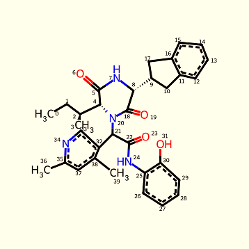 CC[C@H](C)[C@@H]1C(=O)N[C@H](C2Cc3ccccc3C2)C(=O)N1C(C(=O)Nc1ccccc1O)c1cnc(C)cc1C